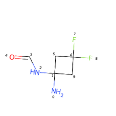 NC1(NC=O)CC(F)(F)C1